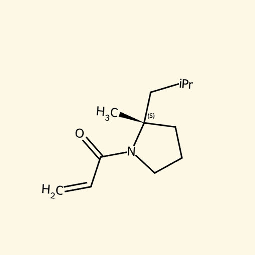 C=CC(=O)N1CCC[C@@]1(C)CC(C)C